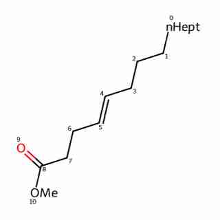 CCCCCCCCCCC=CCCC(=O)OC